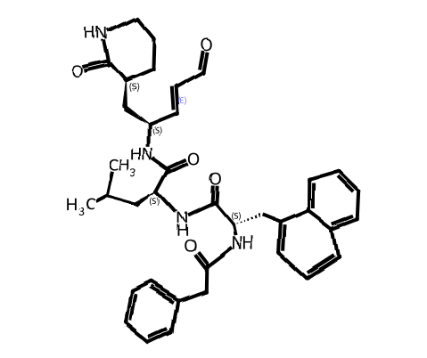 CC(C)C[C@H](NC(=O)[C@H](Cc1cccc2ccccc12)NC(=O)Cc1ccccc1)C(=O)N[C@H](/C=C/C=O)C[C@@H]1CCCNC1=O